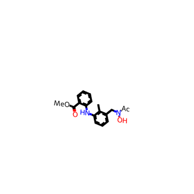 COC(=O)c1ccccc1Nc1cccc(CN(O)C(C)=O)c1C